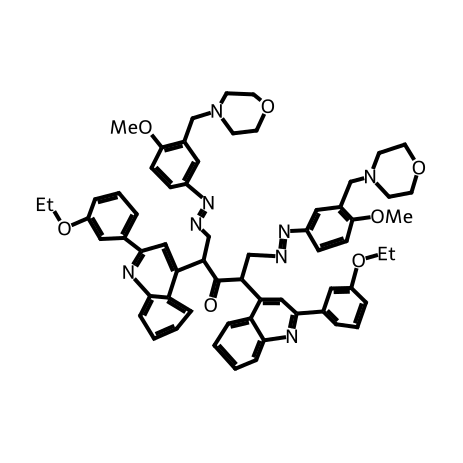 CCOc1cccc(-c2cc(C(CN=Nc3ccc(OC)c(CN4CCOCC4)c3)C(=O)C(CN=Nc3ccc(OC)c(CN4CCOCC4)c3)c3cc(-c4cccc(OCC)c4)nc4ccccc34)c3ccccc3n2)c1